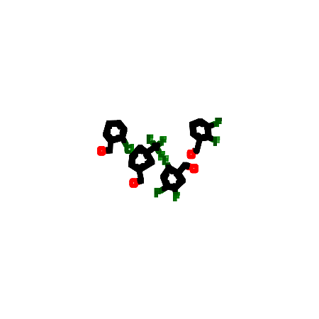 O=Cc1cc(F)c(F)cc1F.O=Cc1cccc(C(F)(F)F)c1.O=Cc1cccc(F)c1F.O=Cc1ccccc1Cl